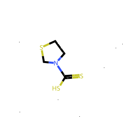 S=C(S)N1CCSC1